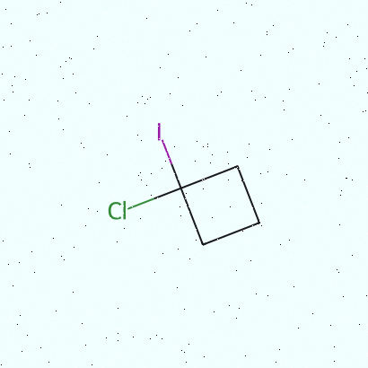 ClC1(I)CCC1